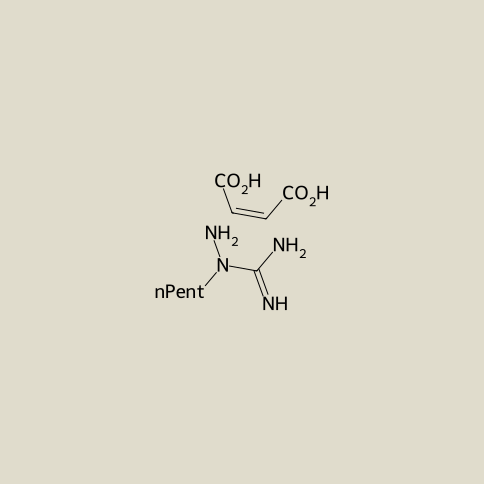 CCCCCN(N)C(=N)N.O=C(O)/C=C\C(=O)O